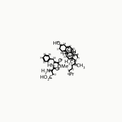 CC(C)CCC[C@@H](C)[C@H]1CC[C@H]2[C@@H]3CC=C4C[C@@H](O)CC[C@]4(C)[C@H]3CC[C@]12C.COC(=O)[C@H](Cc1ccccc1)NC(=O)[C@@H](N)CC(=O)O